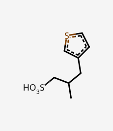 CC(Cc1ccsc1)CS(=O)(=O)O